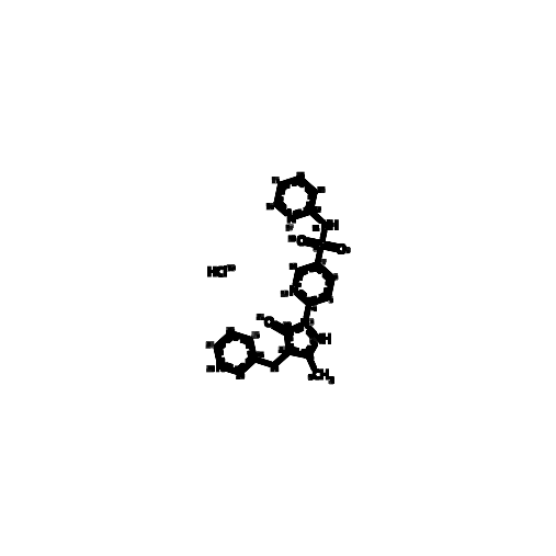 Cc1[nH]n(-c2ccc(S(=O)(=O)Nc3ccccn3)cn2)c(=O)c1Cc1cccnc1.Cl